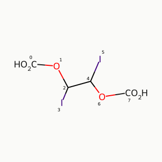 O=C(O)OC(I)C(I)OC(=O)O